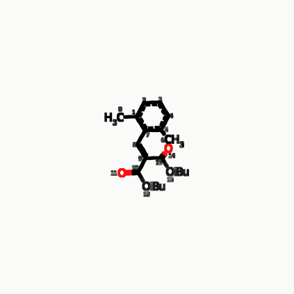 Cc1cccc(C)c1C=C(C(=O)OCC(C)C)C(=O)OCC(C)C